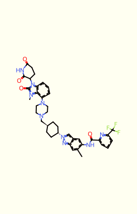 Cc1cc2nn([C@H]3CC[C@H](CN4CCN(c5cccc6c5n(C)c(=O)n6C5CCC(=O)NC5=O)CC4)CC3)cc2cc1NC(=O)c1cccc(C(F)(F)F)n1